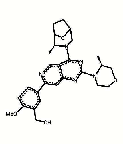 COc1ccc(-c2cc3nc(N4CCOC[C@@H]4C)nc(N4CC5CCC(O5)[C@@H]4C)c3cn2)cc1CO